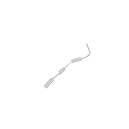 [C]#CC#CC#CCC